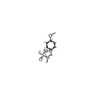 COc1ccc(CN(C)S(C)(=N)=O)cc1